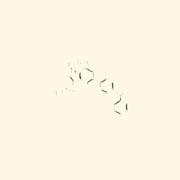 CCCCCCn1cc(CC=O)c2cc(-c3ccc(Oc4ccccc4)cc3)ccc21